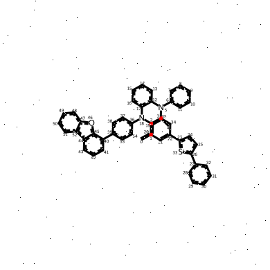 C=C/C=C(\C)N(c1ccccc1)c1ccccc1N(C1=CC=C(c2ccc(-c3ccccc3)s2)CC1)c1ccc(-c2cccc3c2oc2ccccc23)cc1